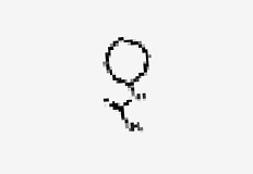 NC(=O)NC1CCCCCCC1